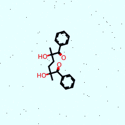 CC(O)(CCC(C)(O)C(=O)c1ccccc1)C(=O)c1ccccc1